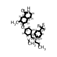 CCCN[C@H](CC)[C@]1(c2cccc(C(F)(F)F)c2)CC[C@@H](Oc2cc3cc[nH]c(=O)c3cc2C)CC1